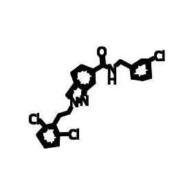 O=C(NCc1cccc(Cl)c1)c1ccc2cn(CCc3c(Cl)cccc3Cl)nc2c1